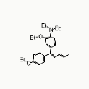 CC=CC=C(c1ccc(OCC)cc1)c1ccc(N(CC)CC)c(OCC)c1